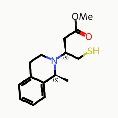 COC(=O)C[C@@H](CS)N1CCc2ccccc2[C@@H]1C